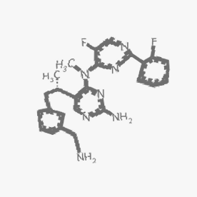 C[C@@H](Cc1cccc(CN)c1)c1cnc(N)nc1N(C)c1nc(-c2ccccc2F)ncc1F